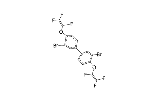 FC(F)=C(F)Oc1ccc(-c2ccc(OC(F)=C(F)F)c(Br)c2)cc1Br